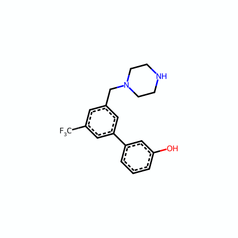 Oc1cccc(-c2cc(CN3CCNCC3)cc(C(F)(F)F)c2)c1